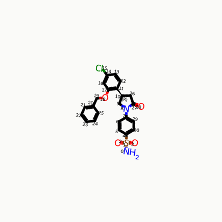 NS(=O)(=O)c1ccc(N2C[C@@H](c3ccc(Cl)cc3OCc3ccccc3)CC2=O)cc1